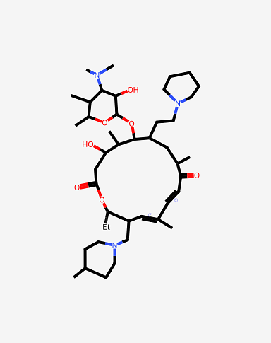 CCC1OC(=O)CC(O)C(C)C(OC2OC(C)C(C)C(N(C)C)C2O)C(CCN2CCCCC2)CC(C)C(=O)/C=C/C(C)=C/C1CN1CCC(C)CC1